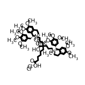 COc1cc2c(cc1OC)[C@@H](c1cc(OC)c(OC)c(OC)c1)[N@@+](C)(CCCC(CCCCCC(=O)O)(CCC[N@@+]1(C)CCc3cc(OC)c(OC)cc3[C@H]1Cc1cc(OC)c(OC)c(OC)c1)C(=O)O)CC2.[Cl-].[Cl-]